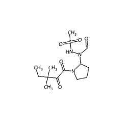 CCC(C)(C)C(=O)C(=O)N1CCCC1N(C=O)NS(C)(=O)=O